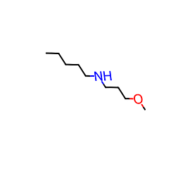 CCCCCNCCCOC